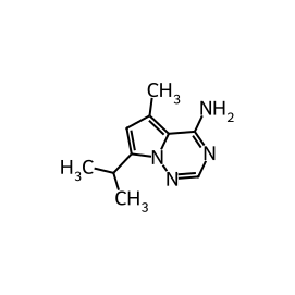 Cc1cc(C(C)C)n2ncnc(N)c12